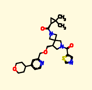 CC1(C)C[C@@H]1C(=O)N1CC2(CN(C(=O)c3cncs3)C[C@H]2COCc2cc(C3CCOCC3)ccn2)C1